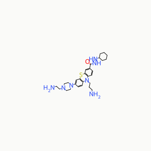 NCCCN1c2ccc(C(=O)NNC3CCCCC3)cc2Sc2cc(N3CCN(CCN)CC3)ccc21